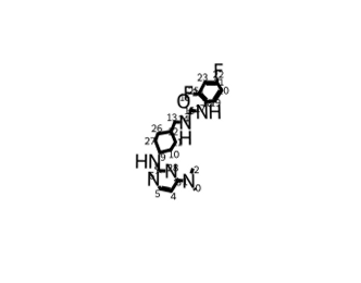 CN(C)c1ccnc(NC2CCC(CNC(=O)Nc3ccc(F)cc3F)CC2)n1